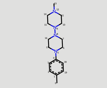 Cc1ccc(N2CCN(N3CCN(C)CC3)CC2)cc1